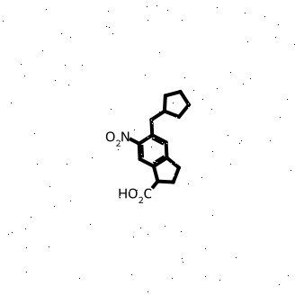 O=C(O)C1CCc2cc(CC3CCCC3)c([N+](=O)[O-])cc21